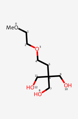 COCCOCCC(CO)(CO)CO